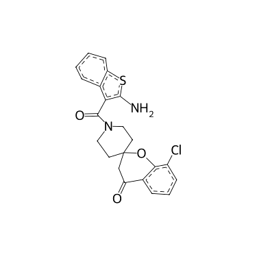 Nc1sc2ccccc2c1C(=O)N1CCC2(CC1)CC(=O)c1cccc(Cl)c1O2